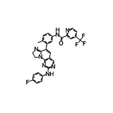 Cc1ccc(NC(=O)c2cc(C(F)(F)F)ccn2)cc1C1=Cc2cnc(Nc3ccc(F)cc3)nc2N2CCN=C12